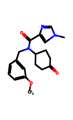 Cn1cnc(C(=O)N(Cc2cccc(OC(F)(F)F)c2)C2CCC(=O)CC2)c1